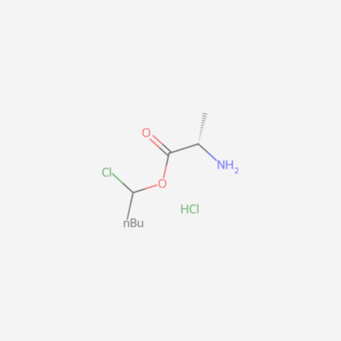 CCCCC(Cl)OC(=O)[C@H](C)N.Cl